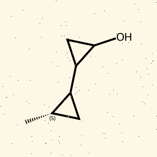 C[C@H]1CC1C1CC1O